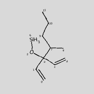 C=CC(C=C)(O[SiH3])C(C)CCC